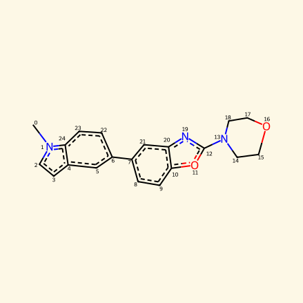 Cn1ccc2cc(-c3ccc4oc(N5CCOCC5)nc4c3)ccc21